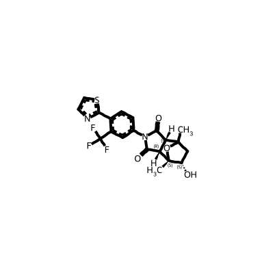 CC12C[C@H](O)[C@@](C)(O1)[C@@H]1C(=O)N(c3ccc(-c4nccs4)c(C(F)(F)F)c3)C(=O)[C@@H]12